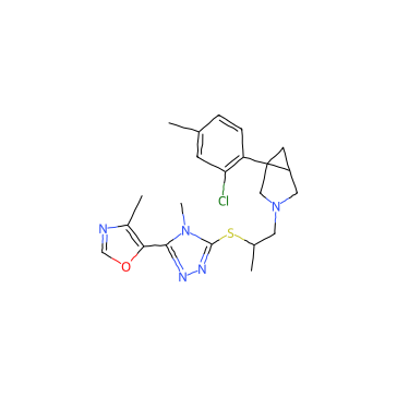 Cc1ccc(C23CC2CN(CC(C)Sc2nnc(-c4ocnc4C)n2C)C3)c(Cl)c1